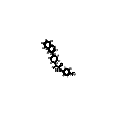 CC(C(=O)Nc1ccc(F)cc1)C1CCC(c2cnc3ccccc3c2)CC1